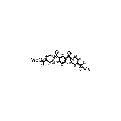 COC(C)C1CCN(C(=O)c2cccc(C(=O)N3CCC(C(C)OC)CC3)c2)CC1